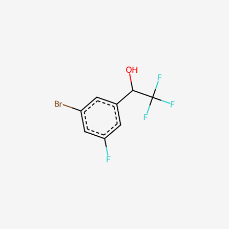 OC(c1cc(F)cc(Br)c1)C(F)(F)F